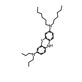 CCCCCCN(CCCCCC)c1ccc2c(c1)Sc1cc(N(CCC)CCC)ccc1N2